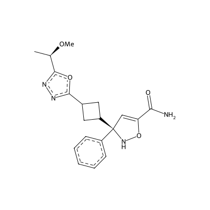 CO[C@H](C)c1nnc(C2CC([C@@]3(c4ccccc4)C=C(C(N)=O)ON3)C2)o1